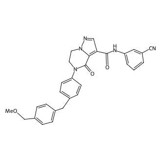 COCc1ccc(Cc2ccc(N3CCn4ncc(C(=O)Nc5cccc(C#N)c5)c4C3=O)cc2)cc1